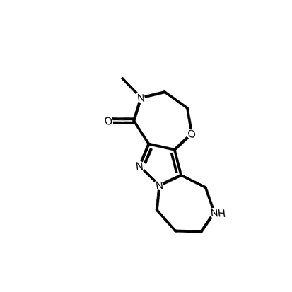 CN1CCOc2c(nn3c2CNCCC3)C1=O